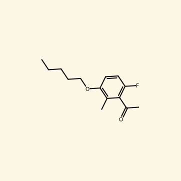 CCCCCOc1ccc(F)c(C(C)=O)c1C